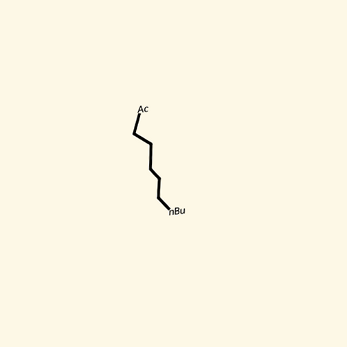 C[CH]CCCCCCCC(C)=O